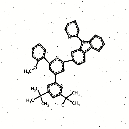 COc1ccccc1-c1cc(-c2cc(C(C)(C)C)cc(C(C)(C)C)c2)cc(-c2ccc3c4ccccc4n(-c4ccccn4)c3c2)n1